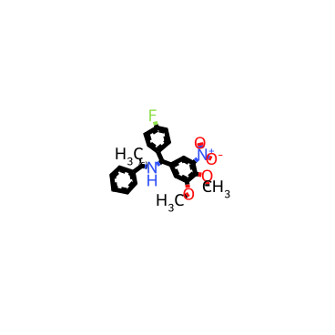 COc1cc(C(N[C@@H](C)c2ccccc2)c2ccc(F)cc2)cc([N+](=O)[O-])c1OC